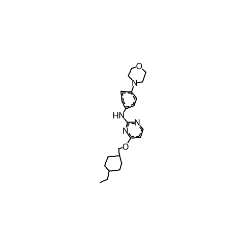 CCC1CCC(COc2ccnc(Nc3ccc(N4CCOCC4)cc3)n2)CC1